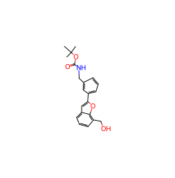 CC(C)(C)OC(=O)NCc1cccc(-c2cc3cccc(CO)c3o2)c1